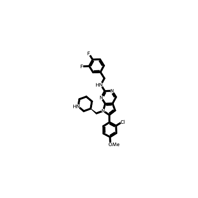 COc1ccc(-c2cc3cnc(NCc4ccc(F)c(F)c4)nc3n2C[C@@H]2CCCNC2)c(Cl)c1